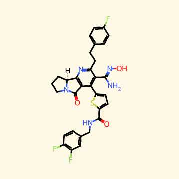 N/C(=N\O)c1c(CCc2ccc(F)cc2)nc2c(c1-c1ccc(C(=O)NCc3ccc(F)c(F)c3)s1)C(=O)N1CCC[C@@H]21